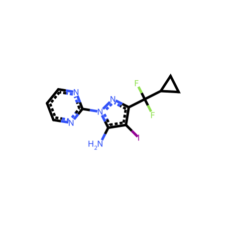 Nc1c(I)c(C(F)(F)C2CC2)nn1-c1ncccn1